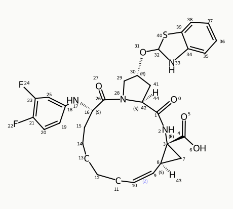 O=C1N[C@]2(C(=O)O)C[C@H]2/C=C\CCCCC[C@H](Nc2ccc(F)c(F)c2)C(=O)N2C[C@H](OC3Nc4ccccc4S3)C[C@@H]12